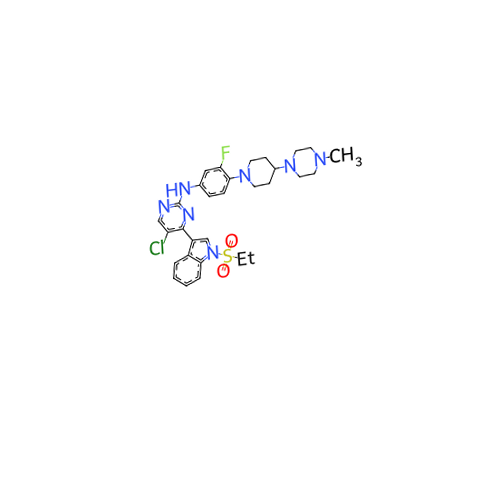 CCS(=O)(=O)n1cc(-c2nc(Nc3ccc(N4CCC(N5CCN(C)CC5)CC4)c(F)c3)ncc2Cl)c2ccccc21